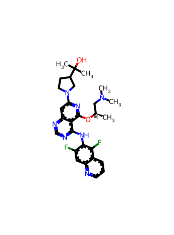 C[C@H](CN(C)C)Oc1nc(N2CCC(C(C)(C)O)C2)cc2ncnc(Nc3c(F)cc4ncccc4c3F)c12